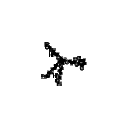 CCO/C=N/CCCOCC(COCCCNCOCC)(COCCCNCOCC)COCCC(=O)ON1C(=O)CCC1=O